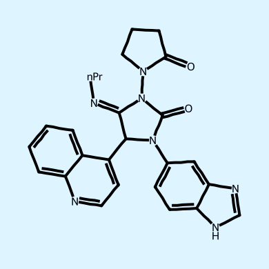 CCCN=C1C(c2ccnc3ccccc23)N(c2ccc3[nH]cnc3c2)C(=O)N1N1CCCC1=O